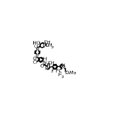 COCCn1ncc(-c2ccc(-c3cnc(C(=O)Nc4ccc(C(=O)N5CCN(C(=O)C6CC[N+](C)(C)CC6O)CC5)c(Cl)c4)n3C)c(F)c2F)c1C